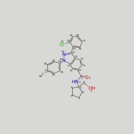 O=C(NC1(CO)CCCC1)c1ccc2c(-c3ccccc3Cl)nn(-c3ccc(F)cc3)c2c1